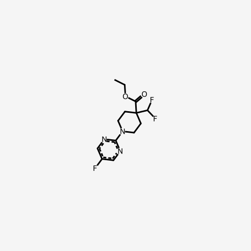 CCOC(=O)C1(C(F)F)CCN(c2ncc(F)cn2)CC1